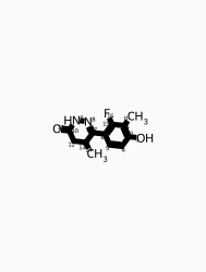 Cc1c(O)ccc(C2=NNC(=O)CC2C)c1F